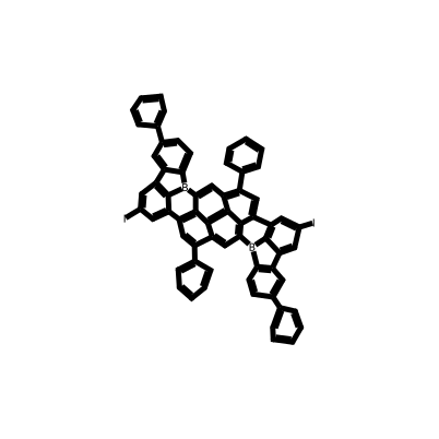 Ic1cc2c3c(c1)-c1cc(-c4ccccc4)c4cc5c6c(cc(-c7ccccc7)c7cc(c1c4c76)B3c1ccc(-c3ccccc3)cc1-2)-c1cc(I)cc2c1B5c1ccc(-c3ccccc3)cc1-2